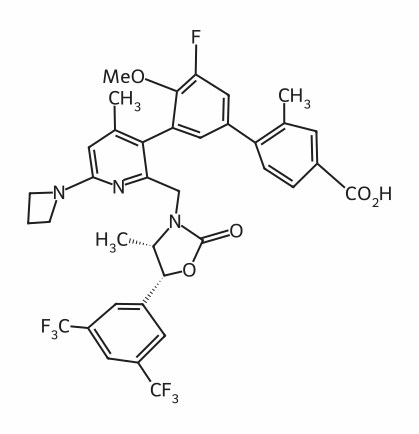 COc1c(F)cc(-c2ccc(C(=O)O)cc2C)cc1-c1c(C)cc(N2CCC2)nc1CN1C(=O)O[C@H](c2cc(C(F)(F)F)cc(C(F)(F)F)c2)[C@@H]1C